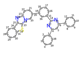 c1ccc(-c2cc(-c3ccccc3)nc(-c3cccc(-c4ccc5nc6c7ccccc7sc6n5c4)c3)n2)cc1